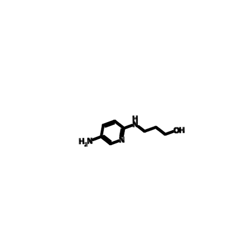 Nc1ccc(NCCCO)nc1